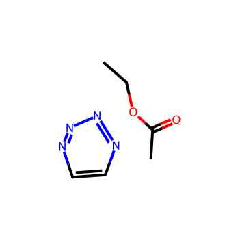 CCOC(C)=O.c1cnnnn1